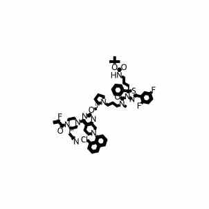 C=C(F)C(=O)N1CCN(c2nc(OC[C@@H]3CCCN3CCCN(C)C(=O)N3N=C(c4cc(F)ccc4F)S[C@@]3(CCCNC(=O)OC(C)(C)C)c3ccccc3)nc3c2CCN(c2cccc4cccc(Cl)c24)C3)C[C@@H]1CC#N